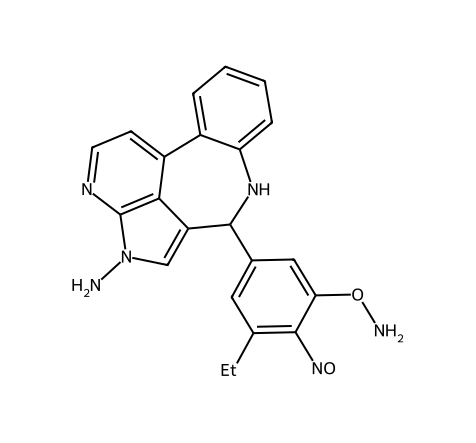 CCc1cc(C2Nc3ccccc3-c3ccnc4c3c2cn4N)cc(ON)c1N=O